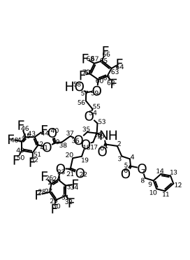 O=C(CCCC(=O)OCc1ccccc1)NC(COCCC(=O)Oc1c(F)c(F)c(F)c(F)c1F)(COCCC(=O)Oc1c(F)c(F)c(F)c(F)c1F)COCCC(O)Oc1c(F)c(F)c(F)c(F)c1F